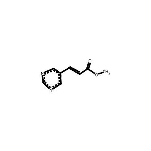 COC(=O)C=Cc1cncnc1